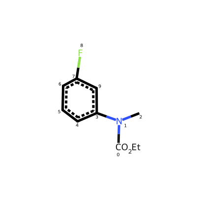 CCOC(=O)N(C)c1cccc(F)c1